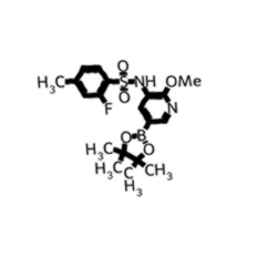 COc1ncc(B2OC(C)(C)C(C)(C)O2)cc1NS(=O)(=O)c1ccc(C)cc1F